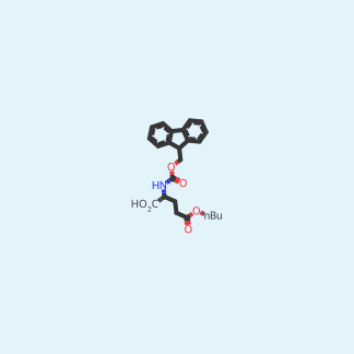 CCCCOC(=O)CCC(NC(=O)OCC1c2ccccc2-c2ccccc21)C(=O)O